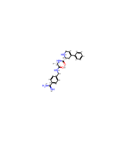 C[C@H](NC(=O)[C@H]1CC(c2ccccc2)=CCN1)C(=O)NCc1ccc(C(=N)N)cc1